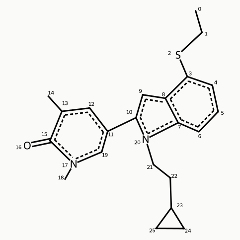 CCSc1cccc2c1cc(-c1cc(C)c(=O)n(C)c1)n2CCC1CC1